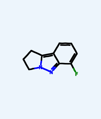 Fc1cccc2c3n(nc12)CCC3